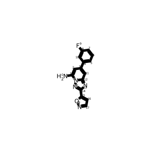 Nc1cc(-c2cccc(F)c2)cc2nc(-c3ccno3)nn12